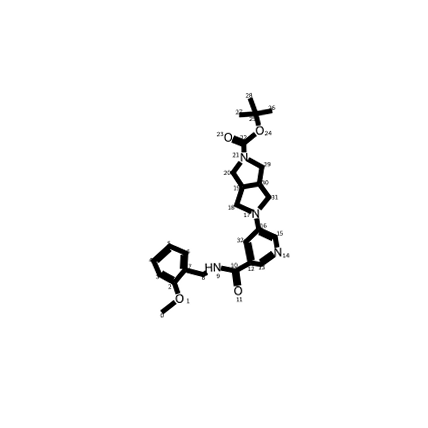 COc1ccccc1CNC(=O)c1cncc(N2CC3CN(C(=O)OC(C)(C)C)CC3C2)c1